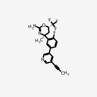 CC#Cc1cncc(-c2ccc(F)c([C@]3(C)C[C@@H](C(F)(F)F)OC(N)=N3)c2)c1